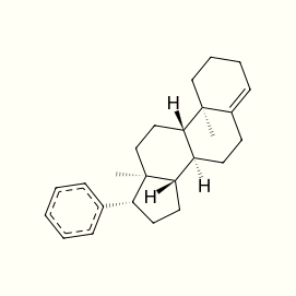 C[C@]12CC[C@H]3[C@@H](CCC4=CCCC[C@@]43C)[C@@H]1CC[C@@H]2c1ccccc1